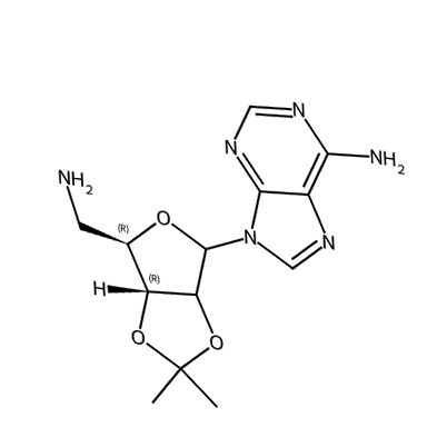 CC1(C)OC2C(n3cnc4c(N)ncnc43)O[C@H](CN)[C@H]2O1